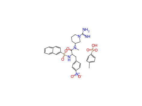 CN(C(=O)C(Cc1ccc([N+](=O)[O-])cc1)NS(=O)(=O)c1ccc2ccccc2c1)[C@H]1CCCN(C(=N)N)C1.Cc1ccc(S(=O)(=O)O)cc1